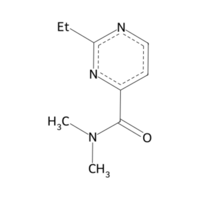 CCc1nccc(C(=O)N(C)C)n1